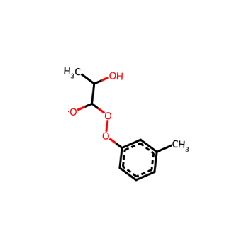 Cc1cccc(OOC([O])C(C)O)c1